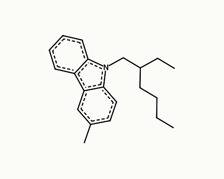 CCCCC(CC)Cn1c2ccccc2c2cc(C)ccc21